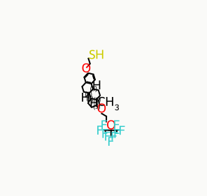 C[C@]12CC[C@@H]3c4ccc(OCCS)cc4CC[C@H]3[C@@H]1CC[C@@H]2OCCCOC(C(F)(F)F)(C(F)(F)F)C(F)(F)F